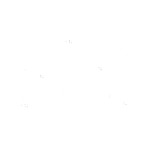 N#Cc1ccc2c(c1)c1ccccc1n2-c1ccc(-c2c(C#N)cccc2-c2ccccc2-n2c3ccccc3c3ccc(C#N)cc32)cc1